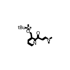 CN(C)C=CC(=O)c1ncccc1CO[Si](C)(C)C(C)(C)C